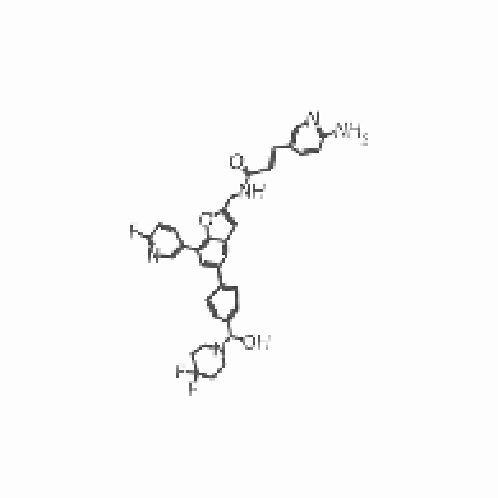 Nc1ccc(/C=C/C(=O)NCc2cc3cc(-c4ccc(C(O)N5CCC(F)(F)CC5)cc4)cc(-c4ccc(F)nc4)c3o2)cn1